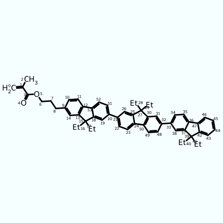 C=C(C)C(=O)OCCCc1ccc2c(c1)C(CC)(CC)c1cc(-c3ccc4c(c3)C(CC)(CC)c3cc(-c5ccc6c(c5)C(CC)(CC)c5ccccc5-6)ccc3-4)ccc1-2